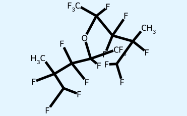 CC(F)(C(F)F)C(F)(F)C(F)(OC(F)(C(F)(F)F)C(F)(F)C(C)(F)C(F)F)C(F)(F)F